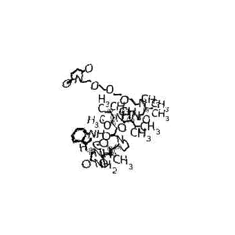 CC[C@H](C)[C@@H]([C@@H](CC(=O)N1CCC[C@H]1[C@H](OC)[C@@H](C)C(=O)N[C@@H](Cc1c[nH]c2ccccc12)C(N)=O)OC)N(C)C(=O)[C@@H](NC(=O)[C@H](C(C)C)N(C)CCOCCOCCOCCN1C(=O)C=CC1=O)C(C)C